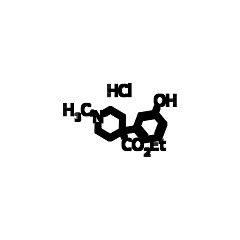 CCOC(=O)C1(c2cccc(O)c2)CCN(C)CC1.Cl